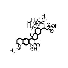 CCN1CCCc2cc3c4c(c(=O)n(C)c3cc21)C=C1C=C2C(CS(=O)(=O)O)CC(C)(C)N(C)C2(C)C=C1O4